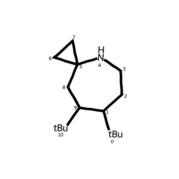 CC(C)(C)C1CCNC2(CC2)CC1C(C)(C)C